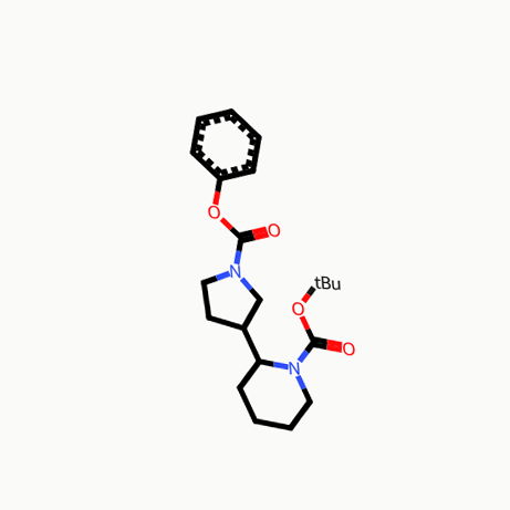 CC(C)(C)OC(=O)N1CCCCC1C1CCN(C(=O)Oc2ccccc2)C1